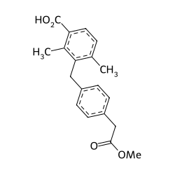 COC(=O)Cc1ccc(Cc2c(C)ccc(C(=O)O)c2C)cc1